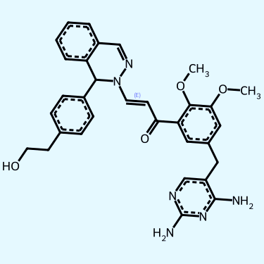 COc1cc(Cc2cnc(N)nc2N)cc(C(=O)/C=C/N2N=Cc3ccccc3C2c2ccc(CCO)cc2)c1OC